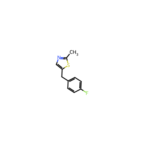 Cc1ncc(Cc2ccc(F)cc2)s1